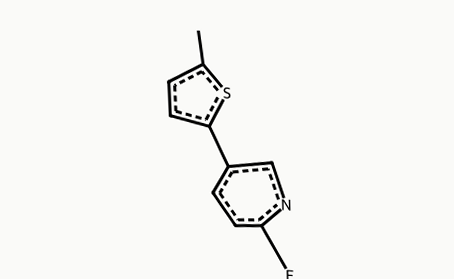 Cc1ccc(-c2ccc(F)nc2)s1